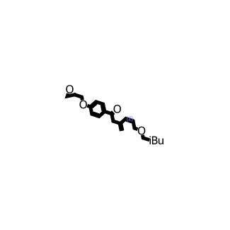 C=C(/C=C\COCC(C)CC)CC(=O)c1ccc(OCC2CO2)cc1